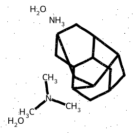 C1C2CC3C4CC5CC(C14)C(C2)C3C5.CN(C)C.N.O.O